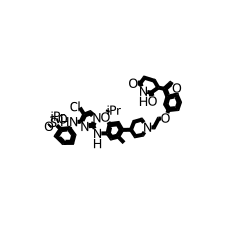 Cc1cc(Nc2ncc(Cl)c(Nc3ccccc3S(=O)(=O)C(C)C)n2)c(OC(C)C)cc1C1CCN(CCOc2ccc3occ(C4CCC(=O)NC4=O)c3c2)CC1